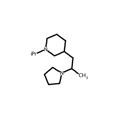 CC(C)N1CCCC(CC(C)N2CCCC2)C1